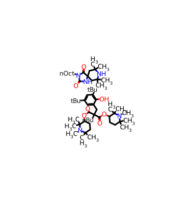 CCCCC(Cc1cc(C(C)(C)C)cc(C(C)(C)C)c1O)(C(=O)OC1CCC(C)(C)N(C)C1(C)C)C(=O)OC1CCC(C)(C)N(C)C1(C)C.CCCCCCCCN1C(=O)NC2(CC(C)(C)NC(C)(C)C2)C1=O